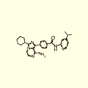 CC(C)c1ccnc(NC(=O)c2ccc(-c3nc(C4CCCCC4)n4ccnc(N)c34)cc2)c1